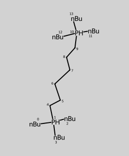 CCCC[PH](CCCC)(CCCC)CCCCCC[PH](CCCC)(CCCC)CCCC